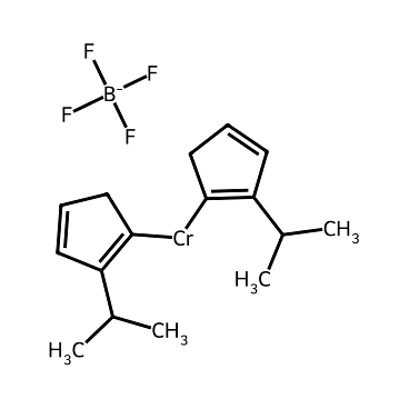 CC(C)C1=[C]([Cr][C]2=C(C(C)C)C=CC2)CC=C1.F[B-](F)(F)F